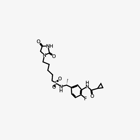 C[C@@H](NS(=O)(=O)CCCCCN1CC(=O)NC1=O)c1ccc(F)c(NC(=O)C2CC2)c1